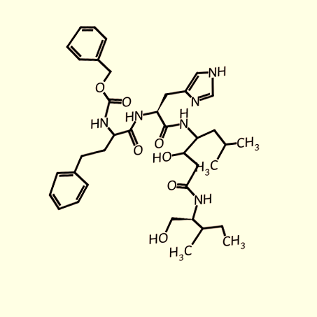 CCC(C)[C@@H](CO)NC(=O)CC(O)C(CC(C)C)NC(=O)[C@H](Cc1c[nH]cn1)NC(=O)C(CCc1ccccc1)NC(=O)OCc1ccccc1